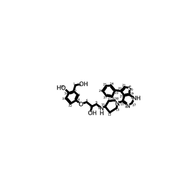 OCc1cc(OCC(O)CNC2CCN(C3=NCNc4scc(-c5ccccc5)c43)CC2)ccc1O